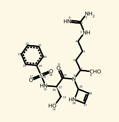 N=C(N)NCCCC(C=O)N(C(=O)[C@@H](CO)NS(=O)(=O)c1ccccc1)C1C=CN1